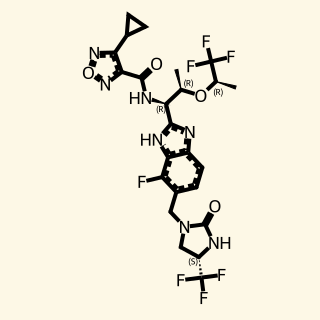 C[C@@H](O[C@H](C)C(F)(F)F)[C@H](NC(=O)c1nonc1C1CC1)c1nc2ccc(CN3C[C@@H](C(F)(F)F)NC3=O)c(F)c2[nH]1